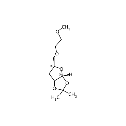 COCCOC[C@@H]1CC2OC(C)(C)O[C@H]2O1